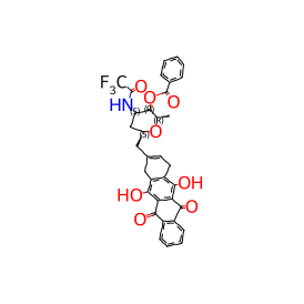 C[C@H]1O[C@@H](CC2=CCc3c(O)c4c(c(O)c3C2)C(=O)c2ccccc2C4=O)C[C@H](NC(=O)C(F)(F)F)[C@H]1OC(=O)c1ccccc1